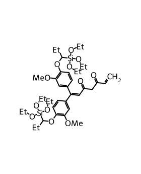 C=CC(=O)CC(=O)C=C(c1ccc(OC(CC)[Si](OCC)(OCC)OCC)c(OC)c1)c1ccc(OC(CC)[Si](OCC)(OCC)OCC)c(OC)c1